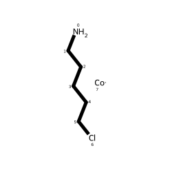 NCCCCCCl.[Co]